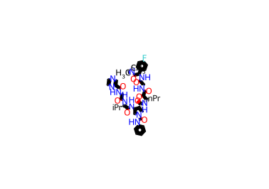 CCC[C@H](NC(=O)[C@@H]1CN(C(=O)Nc2ccccc2)C[C@@H]1NC(=O)[C@@H](NC(=O)CNC(=O)c1cnccn1)C(C)C)C(=O)C(=O)NCC(=O)NC(C(=O)N(C)C)c1ccc(F)cc1